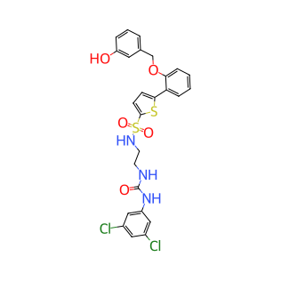 O=C(NCCNS(=O)(=O)c1ccc(-c2ccccc2OCc2cccc(O)c2)s1)Nc1cc(Cl)cc(Cl)c1